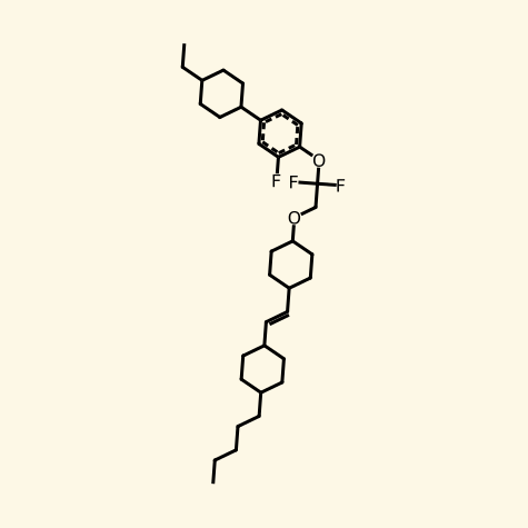 CCCCCC1CCC(/C=C/C2CCC(OCC(F)(F)Oc3ccc(C4CCC(CC)CC4)cc3F)CC2)CC1